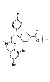 CN(Cc1cc(Br)cc(Br)c1)C(=O)CC(c1ccc(F)cc1)C1(F)CCN(C(=O)OC(C)(C)C)CC1